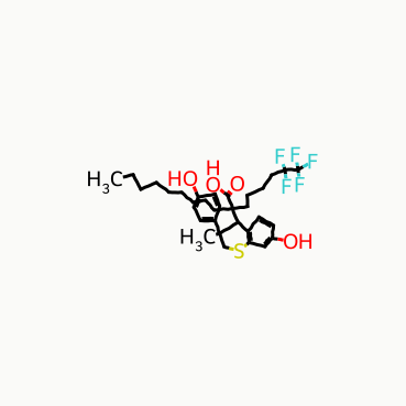 CCCCCCCCCC(CCCCC(F)(F)C(F)(F)F)(C(=O)O)C1c2ccc(O)cc2SCC1(C)c1ccc(O)cc1